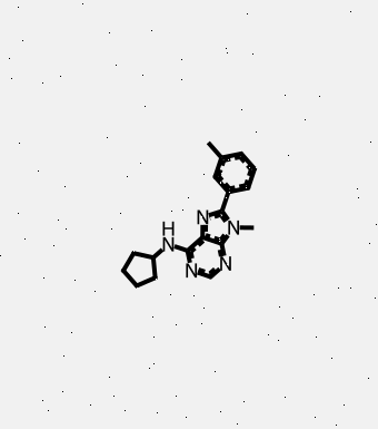 Cc1cccc(-c2nc3c(NC4CCCC4)ncnc3n2C)c1